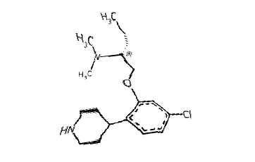 CC[C@H](COc1cc(Cl)ccc1C1CCNCC1)N(C)C